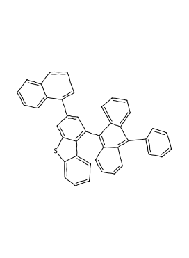 c1ccc(-c2c3ccccc3c(-c3cc(-c4cccc5ccccc45)cc4sc5ccccc5c34)c3ccccc23)cc1